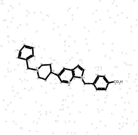 O=C(O)c1ccc(Cn2ccc3cc(C4CCN(Cc5ccccc5)CC4)cnc32)cc1